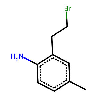 Cc1ccc(N)c(CCBr)c1